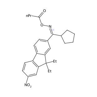 CCCC(=O)O/N=C(\c1ccc2c(c1)C(CC)(CC)c1cc([N+](=O)[O-])ccc1-2)C1CCCC1